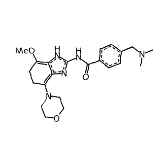 COC1=c2[nH]c(NC(=O)c3ccc(CN(C)C)cc3)nc2=C(N2CCOCC2)CC1